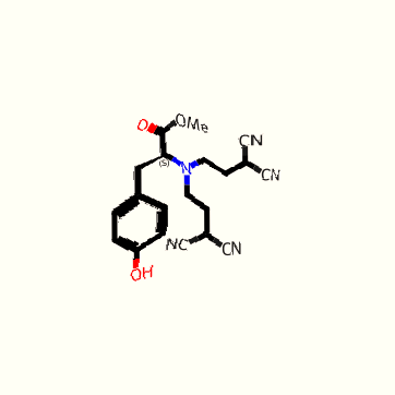 COC(=O)[C@H](Cc1ccc(O)cc1)N(CCC(C#N)C#N)CCC(C#N)C#N